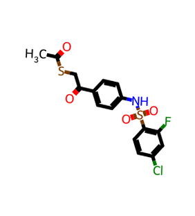 CC(=O)SCC(=O)c1ccc(NS(=O)(=O)c2ccc(Cl)cc2F)cc1